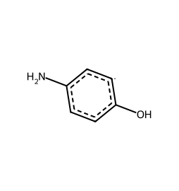 Nc1c[c]c(O)cc1